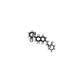 CC1CCCCN1CCc1ccc2cc(-n3ncccc3=O)ccc2c1